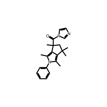 Cc1c2c(c(C)n1-c1ccccc1)C(C)(C(=O)n1ccnc1)CC2(C)C